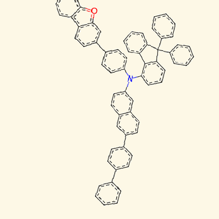 c1ccc(-c2ccc(-c3ccc4cc(N(c5ccc(-c6ccc7c(c6)oc6ccccc67)cc5)c5cccc6c5-c5ccccc5C6(c5ccccc5)c5ccccc5)ccc4c3)cc2)cc1